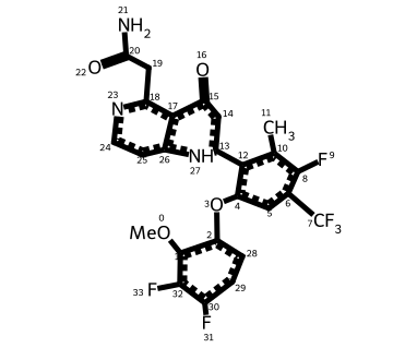 COc1c(Oc2cc(C(F)(F)F)c(F)c(C)c2-c2cc(=O)c3c(CC(N)=O)nccc3[nH]2)ccc(F)c1F